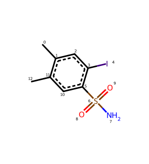 Cc1cc(I)c(S(N)(=O)=O)cc1C